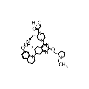 C=CC(=O)N1CCN(c2nc(OC[C@@H]3CCCN3CC)nc3c2CCC(N2CCCc4ccc(OC)cc42)C3)C[C@@H]1CC#N